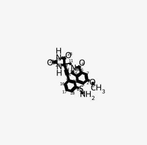 COc1ccc2c(c1)C(=O)N(C[C@@]1(C#Cc3cccc(SN)c3)NC(=O)NC1=O)C2